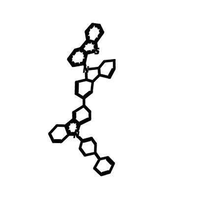 C1=CCC(C2CC=C(n3c4c(c5c3=CCC(C3=CC6C7C=CCCC7N(c7cccc8c7sc7ccccc78)C6C=C3)C=5)CCC=C4)CC2)C=C1